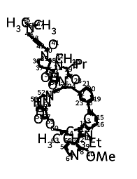 CCn1c(-c2cccnc2COC)c2c3cc(ccc31)-c1cccc(c1)C[C@H](NC(=O)[C@H](C(C)C)N(C)C(=O)C1(O)CCN(C(=O)C#CCN(C)C)C1)C(=O)N1CCC[C@H](N1)C(=O)OCC(C)(C)C2